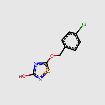 Oc1nsc(OCc2ccc(Cl)cc2)n1